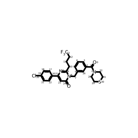 O=C(c1cccc(Cn2c(CCCC(F)(F)F)nc(-c3ccc(Cl)cc3)cc2=O)c1)N1CCSCC1